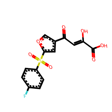 O=C(O)/C(O)=C/C(=O)c1coc(S(=O)(=O)c2ccc(F)cc2)c1